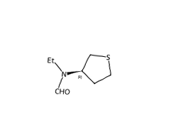 CCN(C=O)[C@@H]1CCSC1